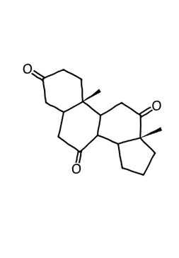 C[C@]12CCC(=O)CC1CC(=O)C1C2CC(=O)[C@]2(C)CCCC12